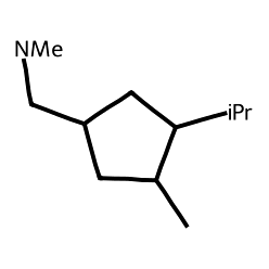 CNCC1CC(C)C(C(C)C)C1